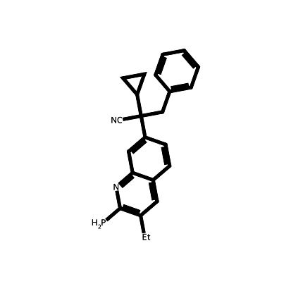 CCc1cc2ccc(C(C#N)(Cc3ccccc3)C3CC3)cc2nc1P